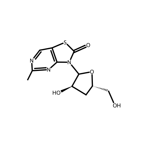 Cc1ncc2sc(=O)n(C3O[C@H](CO)C[C@H]3O)c2n1